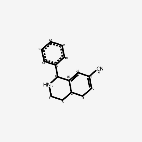 N#CC1=CCC2CCNC(c3ccccc3)C2=C1